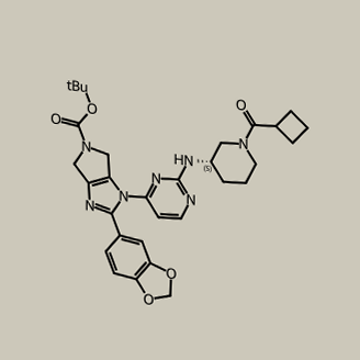 CC(C)(C)OC(=O)N1Cc2nc(-c3ccc4c(c3)OCO4)n(-c3ccnc(N[C@H]4CCCN(C(=O)C5CCC5)C4)n3)c2C1